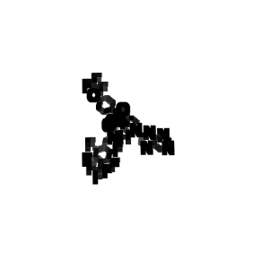 O=C(NCc1c(F)c(F)c(C(F)(F)F)c(F)c1F)[C@H]1CN(c2cnc3cncnc3n2)CCN1S(=O)(=O)c1ccc(OC(F)(F)F)cc1